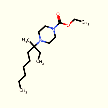 CCCCCCC(C)(CC)N1CCN(C(=O)OCC)CC1